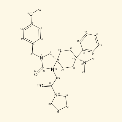 COc1ccc(CN2C[C@]3(CC[C@@](c4ccccc4)(N(C)C)CC3)N(CC(=O)N3CCCC3)C2=O)cc1